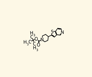 CC(C)(C)OC(=O)N1CCC(c2cc3cnccc3s2)CC1